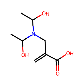 C=C(CN(C(C)O)C(C)O)C(=O)O